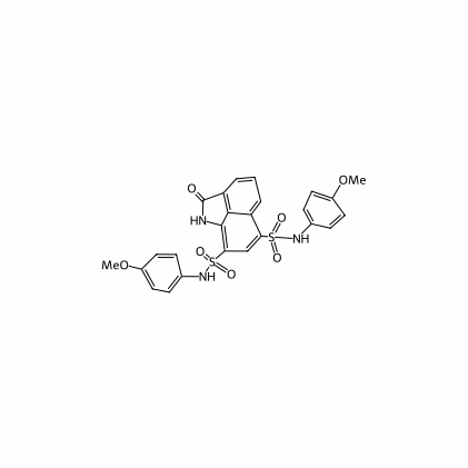 COc1ccc(NS(=O)(=O)c2cc(S(=O)(=O)Nc3ccc(OC)cc3)c3cccc4c3c2NC4=O)cc1